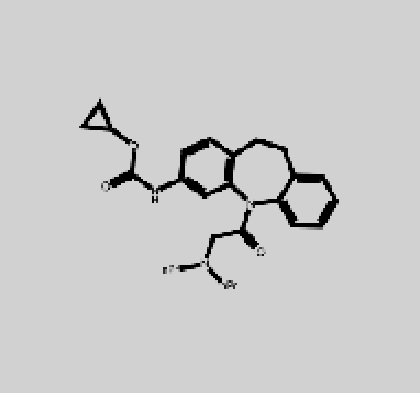 CCCN(CCC)CC(=O)N1c2ccccc2CCc2ccc(NC(=O)OC3CC3)cc21